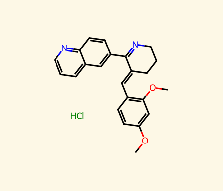 COc1ccc(C=C2CCCN=C2c2ccc3ncccc3c2)c(OC)c1.Cl